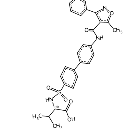 Cc1onc(-c2ccccc2)c1C(=O)Nc1ccc(-c2ccc(S(=O)(=O)N[C@H](C(=O)O)C(C)C)cc2)cc1